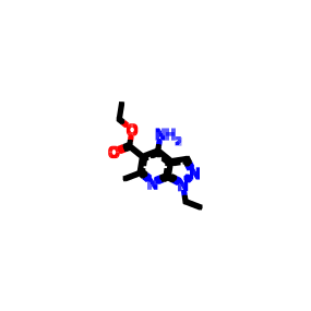 CCOC(=O)c1c(C)nc2c(cnn2CC)c1N